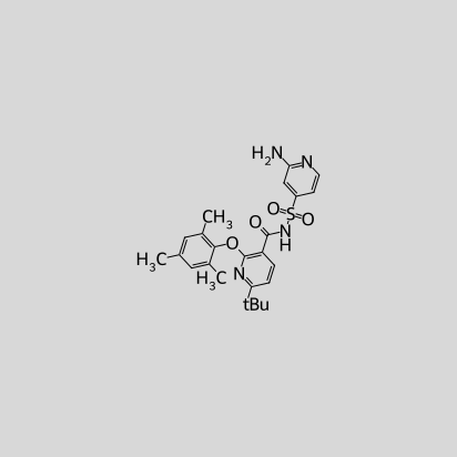 Cc1cc(C)c(Oc2nc(C(C)(C)C)ccc2C(=O)NS(=O)(=O)c2ccnc(N)c2)c(C)c1